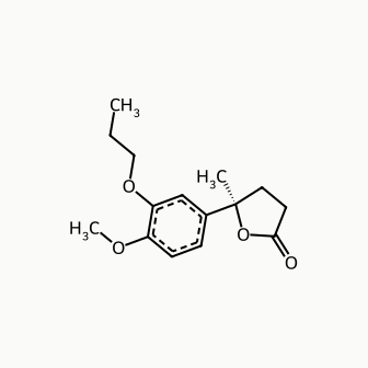 CCCOc1cc([C@@]2(C)CCC(=O)O2)ccc1OC